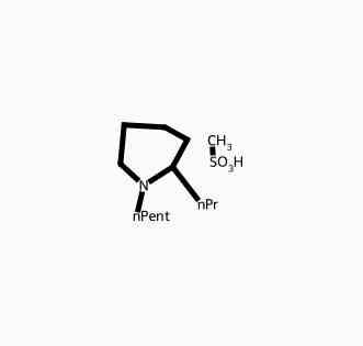 CCCCCN1CCCCC1CCC.CS(=O)(=O)O